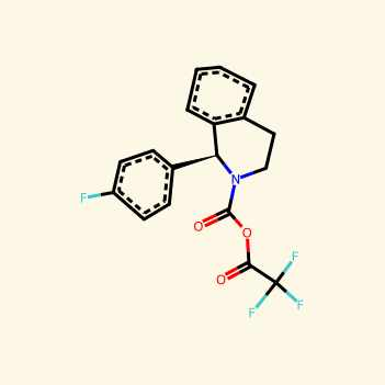 O=C(OC(=O)C(F)(F)F)N1CCc2ccccc2[C@@H]1c1ccc(F)cc1